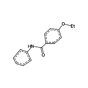 CCOc1ccc(C(=O)Nc2ccccc2)cc1